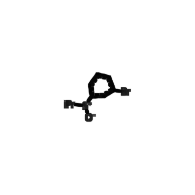 CC(C)[S+]([O-])c1cccc(Br)c1